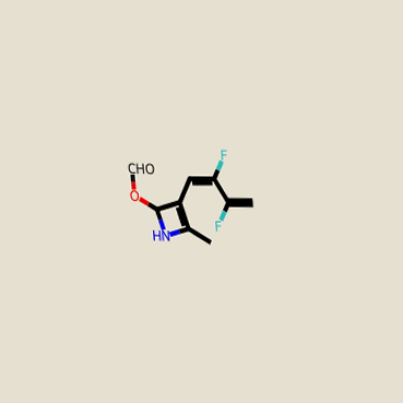 C=C(F)/C(F)=C\C1=C(C)NC1OC=O